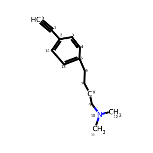 C#Cc1ccc(CCCCN(C)C)cc1